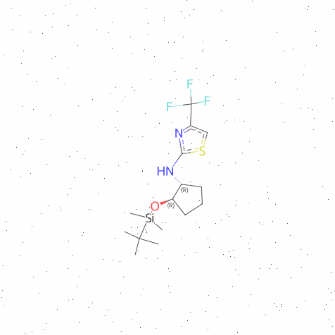 CC(C)(C)[Si](C)(C)O[C@@H]1CCC[C@H]1Nc1nc(C(F)(F)F)cs1